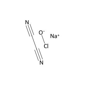 N#CC#N.[Na+].[O-]Cl